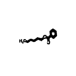 CCCCC[CH]OC(=O)c1ccccc1